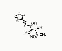 CC(O)C(O)C(O)C(O)C=O.c1ccoc1